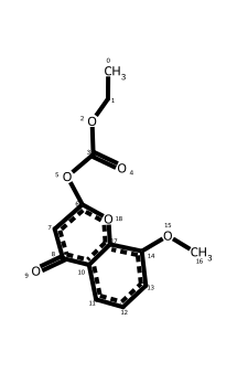 CCOC(=O)Oc1cc(=O)c2cccc(OC)c2o1